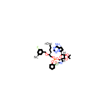 CCCCCCCCCCCCCC[C@@H](COP(=O)(OC[C@@]1(/C=N\C)O[C@@H](c2ccc3c(N)ncnn23)[C@@H]2OC(C)(C)O[C@@H]21)Oc1ccccc1Cl)OCc1cc(F)cc(C#N)c1